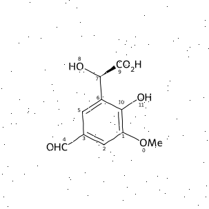 COc1cc(C=O)cc([C@@H](O)C(=O)O)c1O